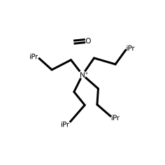 C=O.CC(C)CC[N+](CCC(C)C)(CCC(C)C)CCC(C)C